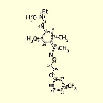 CCN(C)C=Nc1cc(C)c(/C(C)=N/OCCOc2cccc(C(F)(F)F)c2)cc1C